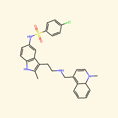 Cc1[nH]c2ccc(NS(=O)(=O)c3ccc(Cl)cc3)cc2c1CCNCC1=C2C=CC=CC2N(C)C=C1